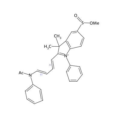 COS(=O)c1ccc2c(c1)C(C)(C)C(/C=C/C=C/N(C(C)=O)c1ccccc1)=[N+]2c1ccccc1